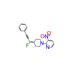 O=[N+]([O-])c1cccnc1N1CCC(=C(F)C#Cc2ccccc2)CC1